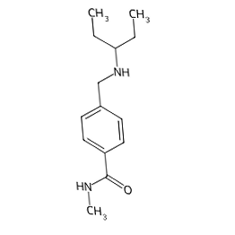 CCC(CC)NCc1ccc(C(=O)NC)cc1